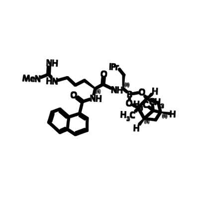 CNC(=N)NCCC[C@H](NC(=O)c1cccc2ccccc12)C(=O)N[C@@H](CC(C)C)B1O[C@@H]2C[C@@H]3C[C@@H](C3(C)C)[C@]2(C)O1